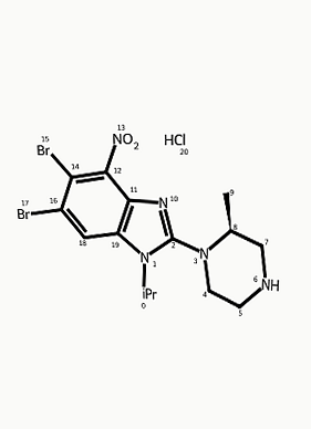 CC(C)n1c(N2CCNC[C@@H]2C)nc2c([N+](=O)[O-])c(Br)c(Br)cc21.Cl